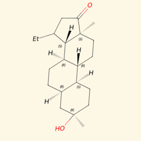 CCC1CC(=O)[C@@]2(C)CC[C@H]3[C@@H](CC[C@@H]4C[C@](C)(O)CC[C@@H]43)[C@H]12